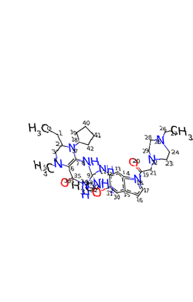 CCC1CN(C)C2=C(N[C@@](N)(Nc3cc4c(ccn4C(=O)CN4CCN(CC)CC4)cc3OC)NC2=O)N1C1CCCC1